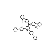 CC1(C)c2ccccc2-c2ccc(N(c3cc(-c4ccc(-c5ccccc5)cc4)nc(-c4ccc(-c5ccccc5)cc4)c3)c3ccc4c(c3)C(C)(C)c3ccccc3-4)cc21